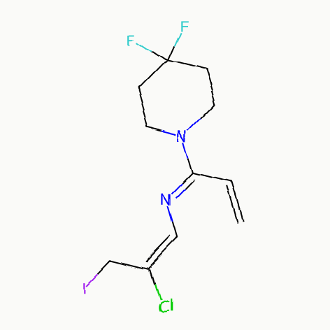 C=C/C(=N\C=C(\Cl)CI)N1CCC(F)(F)CC1